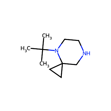 CC(C)(C)N1CCNCC12CC2